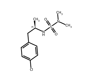 C[C@H](Cc1ccc(Cl)cc1)NS(=O)(=O)N(C)C